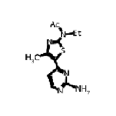 CCN(C(C)=O)c1nc(C)c(-c2ccnc(N)n2)s1